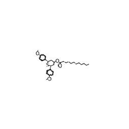 CCCCCCCCCCCC(=O)OC1C[C@@H](c2ccc(OC)cc2)S[C@@H](c2ccc(OC)cc2)C1